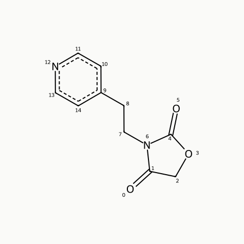 O=C1COC(=O)N1CCc1ccncc1